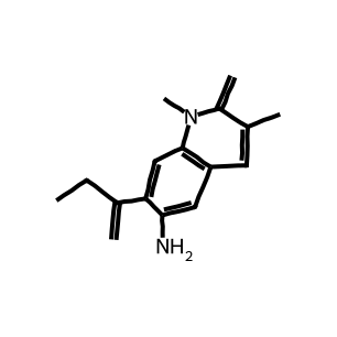 C=C(CC)c1cc2c(cc1N)C=C(C)C(=C)N2C